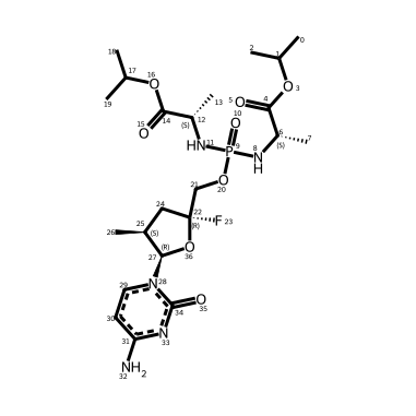 CC(C)OC(=O)[C@H](C)NP(=O)(N[C@@H](C)C(=O)OC(C)C)OC[C@]1(F)C[C@H](C)[C@H](n2ccc(N)nc2=O)O1